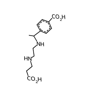 CC(NCCNCCC(=O)O)c1ccc(C(=O)O)cc1